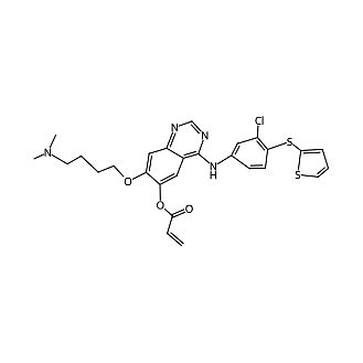 C=CC(=O)Oc1cc2c(Nc3ccc(Sc4cccs4)c(Cl)c3)ncnc2cc1OCCCCN(C)C